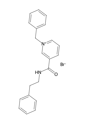 O=C(NCCc1ccccc1)c1ccc[n+](Cc2ccccc2)c1.[Br-]